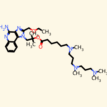 CCOCc1nc2c(N)nc3ccccc3c2n1CC(C)(C)OC(=O)CCCCCN(C)CCCN(C)CCCN(C)C